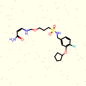 NC(=O)/C=C\NCOCCCS(=O)(=O)NCc1ccc(F)c(OC2CCCC2)c1